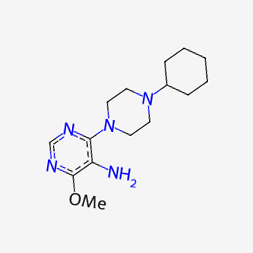 COc1ncnc(N2CCN(C3CCCCC3)CC2)c1N